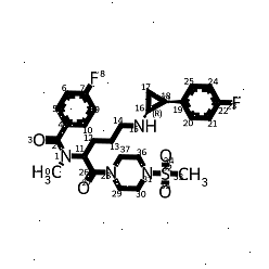 CN(C(=O)c1ccc(F)cc1)C(CCCN[C@@H]1C[C@H]1c1ccc(F)cc1)C(=O)N1CCN(S(C)(=O)=O)CC1